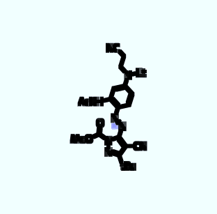 CCN(CCC#N)c1ccc(/N=N/c2c(C#N)c(C(C)(C)C)nn2C(=O)OC)c(NC(C)=O)c1